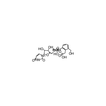 CC(=O)Nc1cccc(CO)c1CP(=O)(O)OP(=O)(O)OC[C@H]1O[C@@H](n2ccc(=O)[nH]c2=O)C(O)C1O